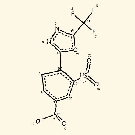 O=[N+]([O-])c1ccc(-c2nnc(C(F)(F)F)o2)c([SH](=O)=O)c1